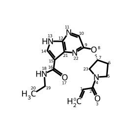 C=CC(=O)N1CC[C@@H](Oc2cnc3[nH]cc(C(=O)NCC)c3n2)C1